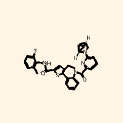 Cc1cccc(F)c1NC(=O)c1cc2c(s1)-c1ccccc1N(C(=O)c1cccc(N3C[C@H]4C5C4[C@H]53)n1)CC2